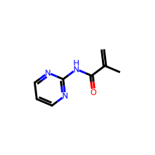 C=C(C)C(=O)Nc1ncccn1